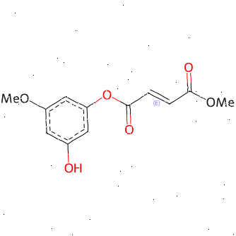 COC(=O)/C=C/C(=O)Oc1cc(O)cc(OC)c1